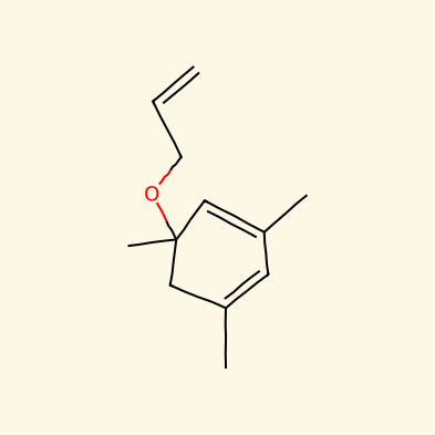 C=CCOC1(C)C=C(C)C=C(C)C1